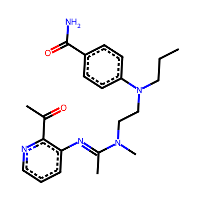 CCCN(CCN(C)/C(C)=N/c1cccnc1C(C)=O)c1ccc(C(N)=O)cc1